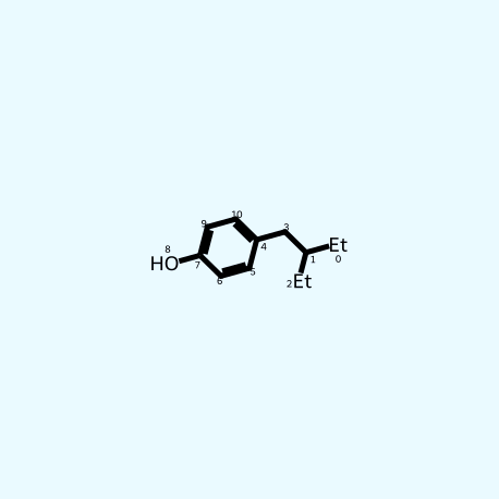 CCC(CC)Cc1ccc(O)cc1